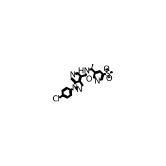 C[C@H](NC(=O)c1cncc2c1cnn2-c1ccc(Cl)cc1)c1cncc(S(C)(=O)=O)c1